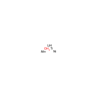 O.[LiH].[Mn].[Ni].[Ti]